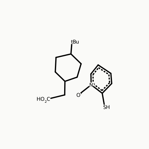 CC(C)(C)C1CCC(CC(=O)O)CC1.[O-][n+]1ccccc1S